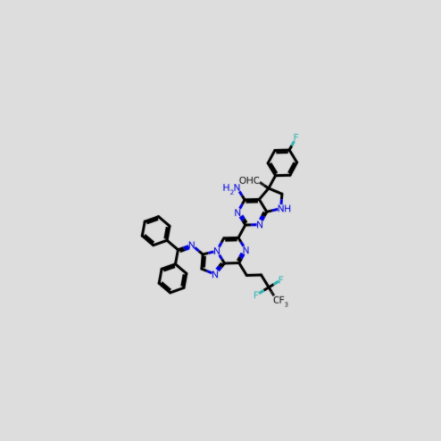 Nc1nc(-c2cn3c(N=C(c4ccccc4)c4ccccc4)cnc3c(CCC(F)(F)C(F)(F)F)n2)nc2c1C(C=O)(c1ccc(F)cc1)CN2